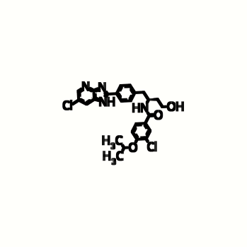 CC(C)Oc1ccc(C(=O)N[C@H](CCO)Cc2ccc(-c3nc4ncc(Cl)cc4[nH]3)cc2)cc1Cl